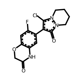 O=C1COc2cc(F)c(-c3c(Cl)n4n(c3=O)CCCC4)cc2N1